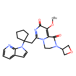 CCCCOc1c2n(c(CC3(n4ccc5cccnc54)CCCC3)nc1=O)CCN(C1COC1)C2=O